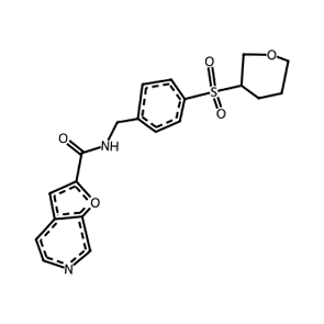 O=C(NCc1ccc(S(=O)(=O)C2CCCOC2)cc1)c1cc2ccncc2o1